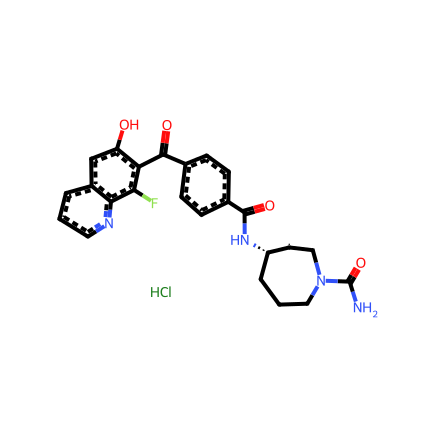 Cl.NC(=O)N1C[CH][C@@H](NC(=O)c2ccc(C(=O)c3c(O)cc4cccnc4c3F)cc2)CCC1